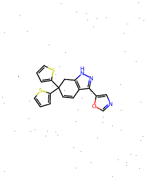 C1=CC(c2cccs2)(c2cccs2)Cc2[nH]nc(-c3cnco3)c21